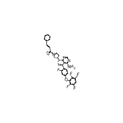 C/N=C(/c1ccc(Oc2c(F)c(F)cc(F)c2F)cc1F)c1c(N)ncnc1C(C)C1CCN(C(=O)/C=C/c2ccccc2)C1